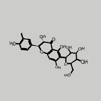 Cc1cc([C@@H]2Oc3cc(O)c(C4OC(CO)C(O)C(O)C4O)c(O)c3C(=O)[C@H]2O)ccc1O